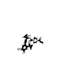 C=CC(=O)N1CCN(C(=O)NC2(C#Cc3cc(O)c(Cl)cc3C3(C)CC3)CC2)CC1